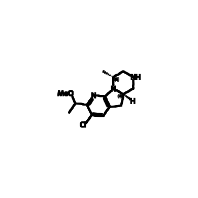 COC(C)c1nc2c(cc1Cl)C[C@@H]1CNC[C@@H](C)N21